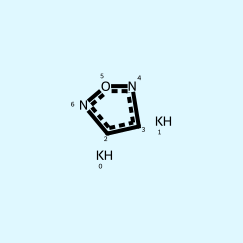 [KH].[KH].c1cnon1